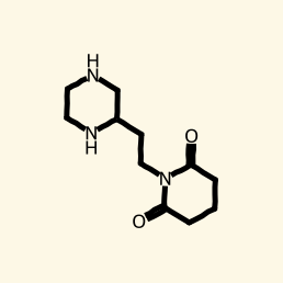 O=C1CCCC(=O)N1CCC1CNCCN1